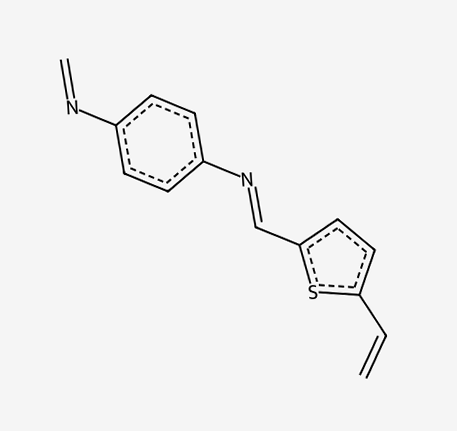 C=Cc1ccc(C=Nc2ccc(N=C)cc2)s1